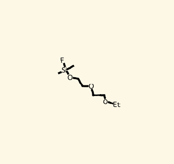 CCOCCOCCO[Si](C)(C)F